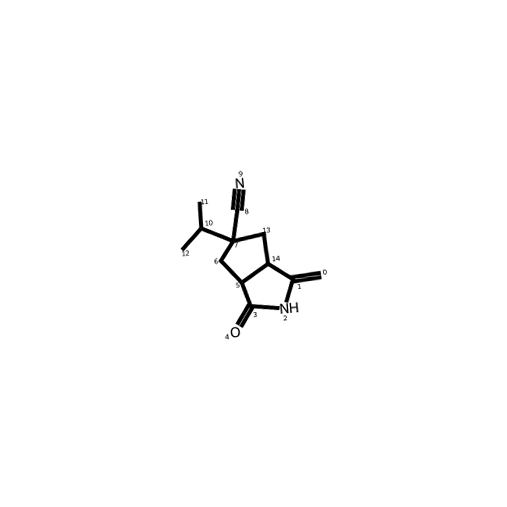 C=C1NC(=O)C2CC(C#N)(C(C)C)CC12